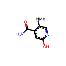 CNc1cnc(O)cc1C(N)=O